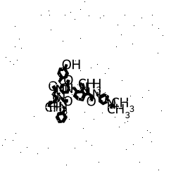 C=CCN1CC(=O)N2C(CN(Cc3cccc4c(C(=O)Nc5ccc(N(C)C)cc5)cn(C)c34)C(=O)[C@@H]2Cc2ccc(O)cc2)N1C(=O)NCc1ccccc1